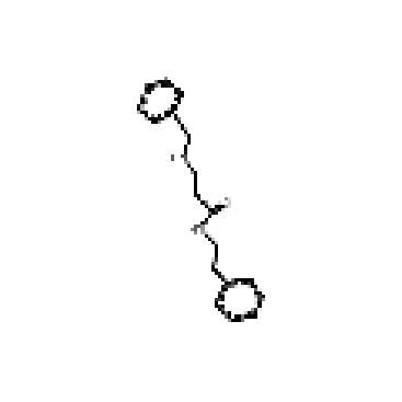 O=C(CCNCc1ccccc1)NCCc1ccccc1